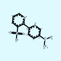 CCS(=O)(=O)c1cccnc1-c1ccc([S+]([O-])C(F)(F)F)cn1